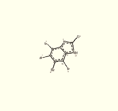 Clc1nc2c(Br)c(Br)c(Br)c(Br)c2[nH]1